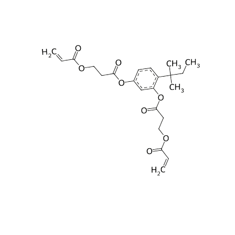 C=CC(=O)OCCC(=O)Oc1ccc(C(C)(C)CC)c(OC(=O)CCOC(=O)C=C)c1